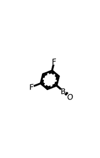 O=Bc1cc(F)cc(F)c1